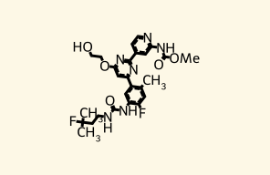 COC(=O)Nc1cc(-c2nc(OCCO)cc(-c3cc(NC(=O)NCCC(C)(C)F)c(F)cc3C)n2)ccn1